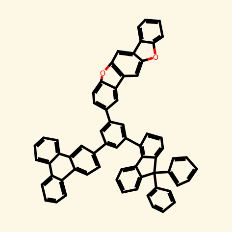 c1ccc(C2(c3ccccc3)c3ccccc3-c3c(-c4cc(-c5ccc6oc7cc8c(cc7c6c5)oc5ccccc58)cc(-c5ccc6c7ccccc7c7ccccc7c6c5)c4)cccc32)cc1